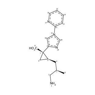 C[C@@H](CN)C[C@H]1C[C@]1(C(=O)O)c1cn(-c2ccccn2)cn1